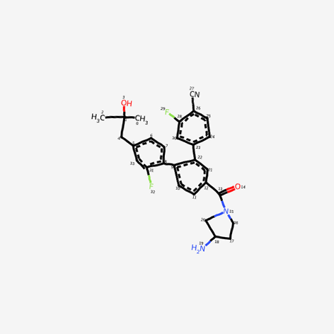 CC(C)(O)Cc1ccc(-c2ccc(C(=O)N3CCC(N)C3)cc2-c2ccc(C#N)c(F)c2)c(F)c1